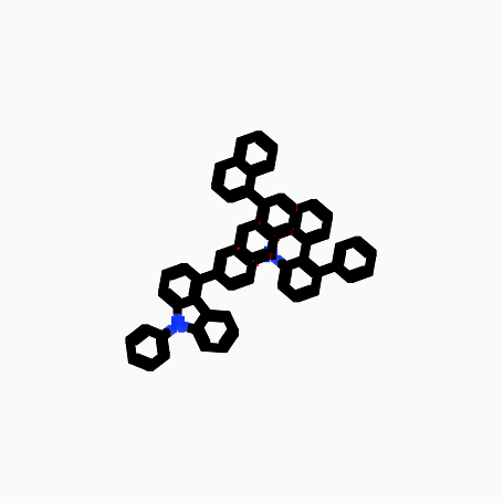 c1ccc(-c2ccccc2-c2c(-c3ccccc3)cccc2N(c2ccc(-c3cccc4c3c3ccccc3n4-c3ccccc3)cc2)c2cccc(-c3cccc4ccccc34)c2)cc1